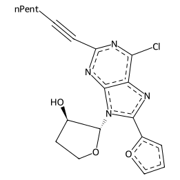 CCCCCC#Cc1nc(Cl)c2nc(-c3ccco3)n([C@@H]3OCC[C@H]3O)c2n1